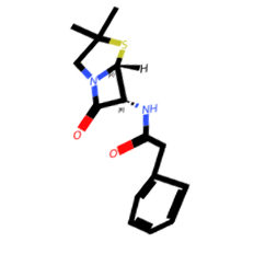 CC1(C)CN2C(=O)[C@@H](NC(=O)Cc3ccccc3)[C@H]2S1